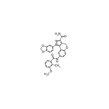 COc1cccc(C(=O)Nc2ccc3c(c2)-c2c(c(C(N)=O)nn2-c2ccc4c(c2)OCO4)CO3)c1C